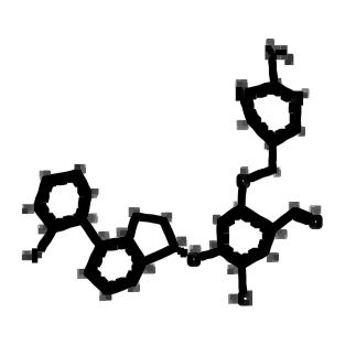 Nc1ncc(COc2cc(O[C@H]3CCc4c(-c5ccccc5F)cccc43)c(Cl)cc2C=O)cn1